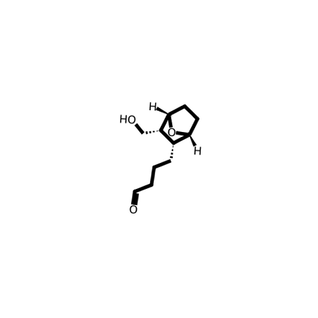 O=CCCC[C@@H]1[C@H](CO)[C@@H]2CC[C@H]1O2